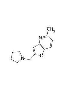 Cc1ccc2oc(CN3CCCC3)cc2n1